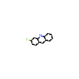 Fc1ccc2cc3ccccc3nc2c1